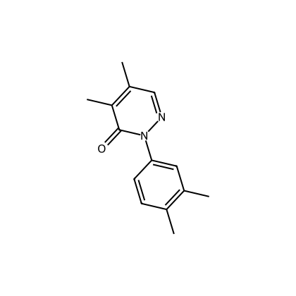 Cc1ccc(-n2ncc(C)c(C)c2=O)cc1C